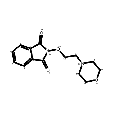 O=C1c2ccccc2C(=O)N1OCCN1CCOCC1